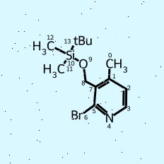 Cc1ccnc(Br)c1CO[Si](C)(C)C(C)(C)C